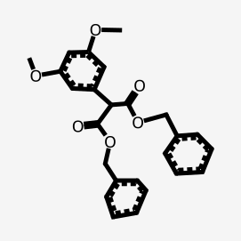 COc1cc(OC)cc(C(C(=O)OCc2ccccc2)C(=O)OCc2ccccc2)c1